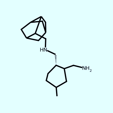 CC1CC[C@H](CNCC2C3CC4CC(C3)C2C4)C(CN)C1